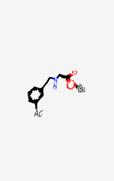 CC(=O)c1cccc(CNCC(=O)OC(C)(C)C)c1